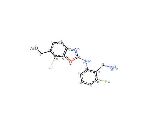 CC(=O)OCc1ccc2nc(Nc3cccc(F)c3CN)oc2c1F